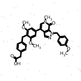 COc1ccc(Cn2ncc3c(-c4cc(OC)c(Cc5ccc(CC(=O)O)cc5)c(OC)c4)cn(C)c(=O)c32)cc1